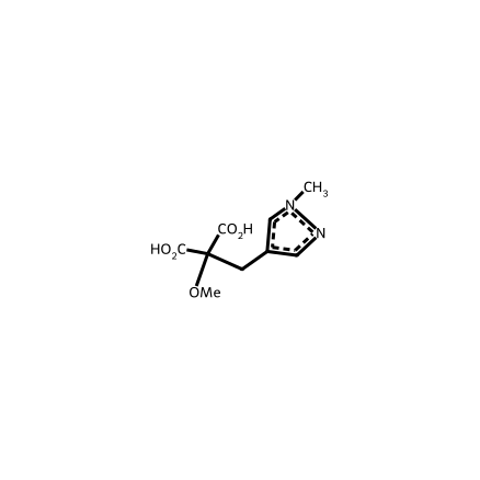 COC(Cc1cnn(C)c1)(C(=O)O)C(=O)O